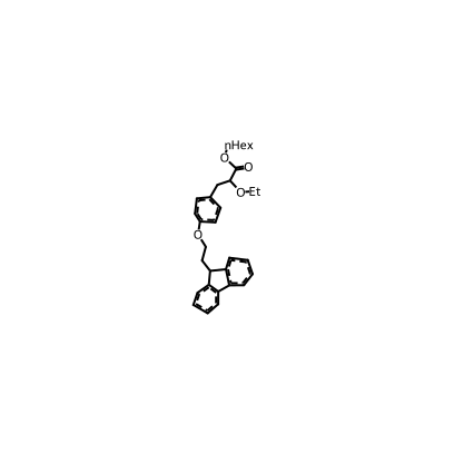 CCCCCCOC(=O)C(Cc1ccc(OCCC2c3ccccc3-c3ccccc32)cc1)OCC